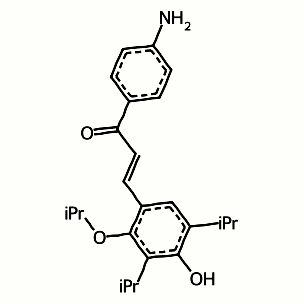 CC(C)Oc1c(/C=C/C(=O)c2ccc(N)cc2)cc(C(C)C)c(O)c1C(C)C